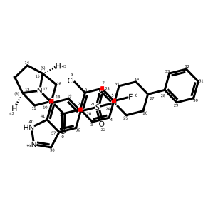 O=C(c1ccc(F)cc1Cl)N1C[C@H]2CC[C@@H](C1)N2c1cc(S(=O)(=O)N2CCC(c3ccccc3)CC2)cc2cn[nH]c12